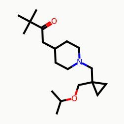 CC(C)OCC1(CN2CCC(CC(=O)C(C)(C)C)CC2)CC1